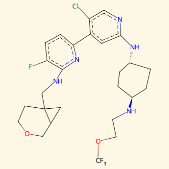 Fc1ccc(-c2cc(N[C@H]3CC[C@H](NCCOC(F)(F)F)CC3)ncc2Cl)nc1NCC12CCOCC1C2